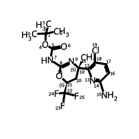 CC(C)(C)OC(=O)NC1=N[C@](C)(c2nc(N)ccc2Cl)C[C@@H](C(F)(F)F)O1